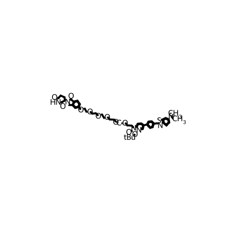 CN(C)c1ccc2nc(-c3ccc(-c4ccc(N(CCOCCOCCOCCOCCOCCOc5ccc6c(c5)CN(C5CCC(=O)NC5=O)C6=O)C(=O)OC(C)(C)C)nc4)cc3)sc2c1